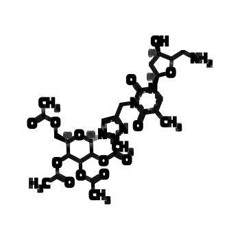 CC(=O)OC[C@H]1O[C@H](n2cc(Cn3c(=O)c(C)cn([C@H]4C[C@@H](O)C(CN)O4)c3=O)nn2)C(OC(C)=O)C(OC(C)=O)C1OC(C)=O